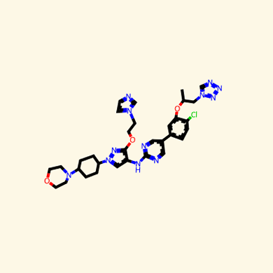 CC(Cn1cnnn1)Oc1cc(-c2cnc(Nc3cn(C4CCC(N5CCOCC5)CC4)nc3OCCn3ccnc3)nc2)ccc1Cl